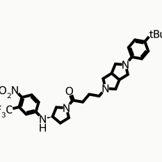 CC(C)(C)c1ccc(N2CC3CN(CCCC(=O)N4CC[C@H](Nc5ccc([N+](=O)[O-])c(C(F)(F)F)c5)C4)CC3C2)cc1